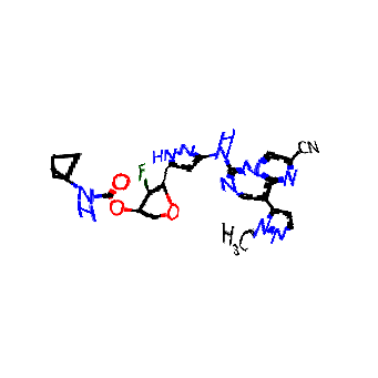 Cn1nccc1-c1cnc(Nc2cc([C@H]3OC[C@@H](OC(=O)NC45CC(C4)C5)[C@H]3F)[nH]n2)n2cc(C#N)nc12